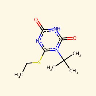 CCSc1nc(=O)[nH]c(=O)n1C(C)(C)C